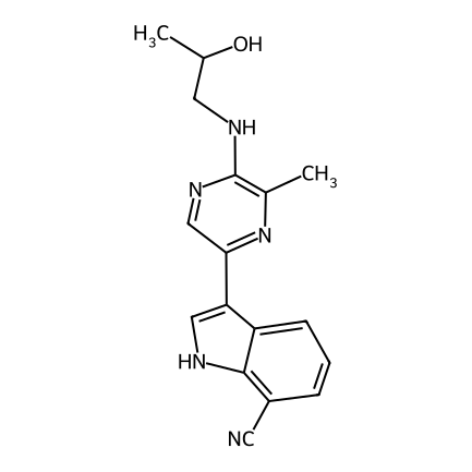 Cc1nc(-c2c[nH]c3c(C#N)cccc23)cnc1NCC(C)O